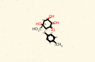 Cc1ccc(C[C@H]2C(=O)[C@@H](O)C(O)C[C@]2(O)C(=O)O)cc1